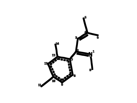 C/N=C(/C=C(C)C)c1ccc(C)cc1C